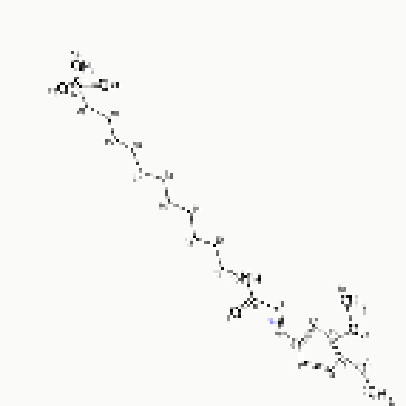 COc1ccc(/C=C/C(=O)NCCCCCCCCCCCS(=O)(=O)O)cc1OC